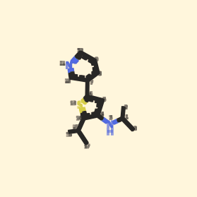 CC(C)Nc1cc(-c2cccnc2)sc1C(C)C